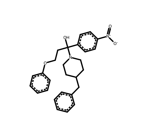 O=[N+]([O-])c1ccc(C(O)(CCOc2ccccc2)N2CCC(Cc3ccccc3)CC2)cc1